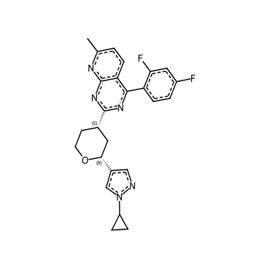 Cc1ccc2c(-c3ccc(F)cc3F)nc([C@H]3CCO[C@@H](c4cnn(C5CC5)c4)C3)nc2n1